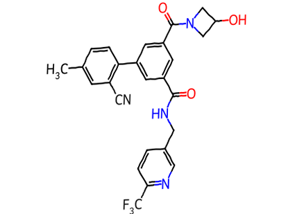 Cc1ccc(-c2cc(C(=O)NCc3ccc(C(F)(F)F)nc3)cc(C(=O)N3CC(O)C3)c2)c(C#N)c1